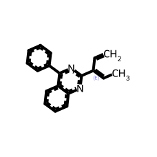 C=C/C(=C\C)c1nc(-c2ccccc2)c2ccccc2n1